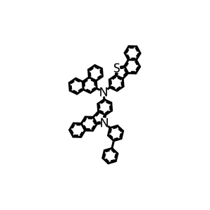 c1ccc(-c2cccc(-n3c4ccc(N(c5ccc6c(c5)sc5c7ccccc7ccc65)c5cc6ccccc6c6ccccc56)cc4c4cc5ccccc5cc43)c2)cc1